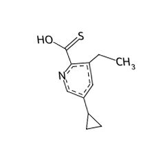 CCc1cc(C2CC2)cnc1C(O)=S